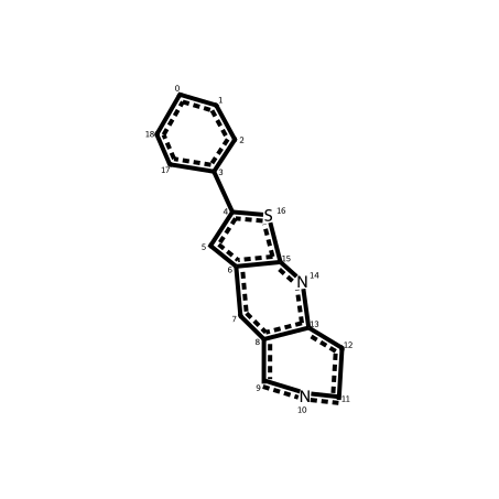 c1ccc(-c2cc3cc4cnccc4nc3s2)cc1